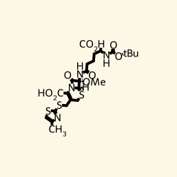 CO[C@@]1(NC(=O)CCCC(NC(=O)OC(C)(C)C)C(=O)O)C(=O)N2C(C(=O)O)=C(CSc3nc(C)cs3)CS[C@H]21